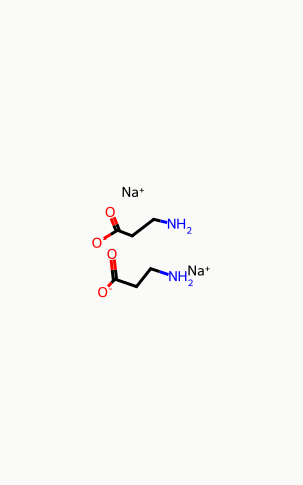 NCCC(=O)[O-].NCCC(=O)[O-].[Na+].[Na+]